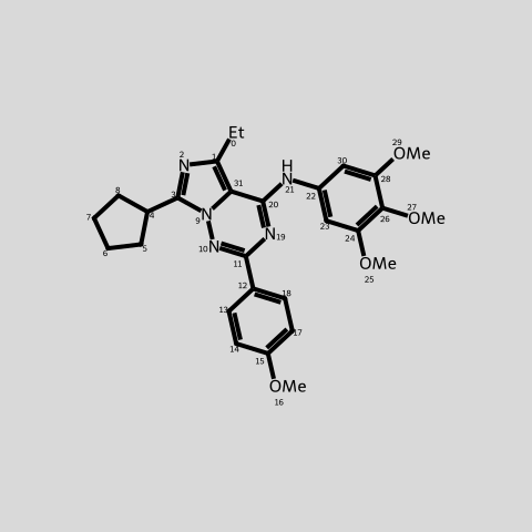 CCc1nc(C2CCCC2)n2nc(-c3ccc(OC)cc3)nc(Nc3cc(OC)c(OC)c(OC)c3)c12